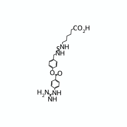 N=C(N)Nc1ccc(C(=O)Oc2ccc(CNSNCCCCCC(=O)O)cc2)cc1